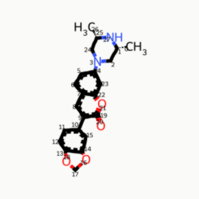 C[C@@H]1CN(c2ccc3cc(-c4ccc5c(c4)OCO5)c(=O)oc3c2)C[C@H](C)N1